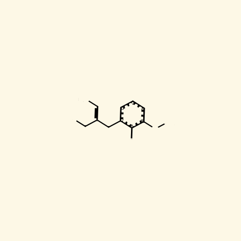 CC=C(CC)Cc1cccc(OC)c1O